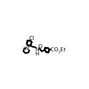 CCOC(=O)c1ccc(CC(=O)NCCc2cc(Cl)ccc2N2CCCCC2)cc1